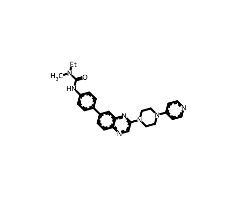 CCN(C)C(=O)Nc1ccc(-c2ccc3ncc(N4CCN(c5ccncc5)CC4)nc3c2)cc1